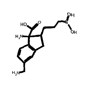 NCc1ccc2c(c1)CC(CCCB(O)O)C2(N)C(=O)O